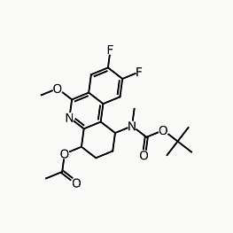 COc1nc2c(c3cc(F)c(F)cc13)C(N(C)C(=O)OC(C)(C)C)CCC2OC(C)=O